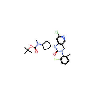 Cc1cccc(F)c1N1Cc2cnc(Cl)cc2N([C@H]2CC[C@H](N(C)C(=O)OC(C)(C)C)CC2)C1=O